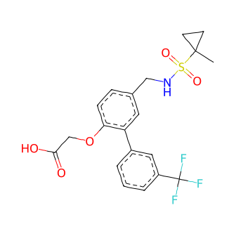 CC1(S(=O)(=O)NCc2ccc(OCC(=O)O)c(-c3cccc(C(F)(F)F)c3)c2)CC1